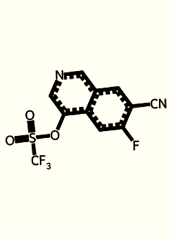 N#Cc1cc2cncc(OS(=O)(=O)C(F)(F)F)c2cc1F